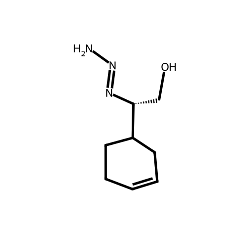 NN=N[C@H](CO)C1CC=CCC1